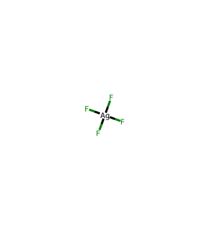 [F][Ag]([F])([F])[F]